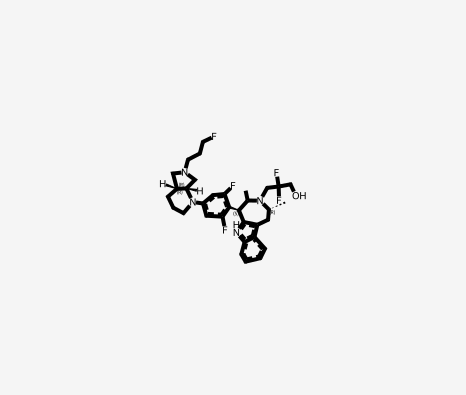 CC1[C@H](c2c(F)cc(N3CCC[C@@H]4CN(CCCF)C[C@@H]43)cc2F)c2[nH]c3ccccc3c2C[C@@H](C)N1CC(F)(F)CO